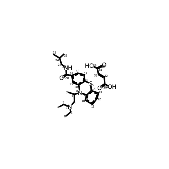 CCN(CC)CC(C)N1c2ccccc2Sc2ccc(C(=O)NCC(C)C)cc21.O=C(O)C=CC(=O)O